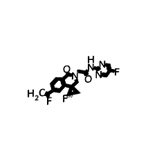 C=C(F)c1ccc2c(c1)C1(C[C@@H]1F)CN(CC(=O)Nc1ncc(F)cn1)C2=O